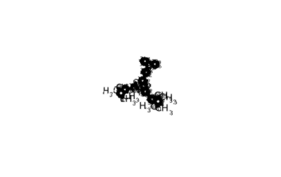 CC1(C)CCC(C)(C)c2cc(-c3cnc4c(c3)Oc3cc(-c5ccc(-n6c7ccccc7c7ccccc76)cc5)cc5c3B4c3ncc(-c4ccc6c(c4)C(C)(C)CCC6(C)C)cc3O5)ccc21